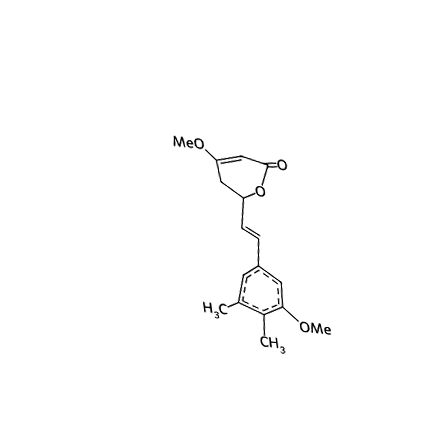 COC1=CC(=O)OC(/C=C/c2cc(C)c(C)c(OC)c2)C1